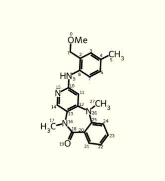 COCc1cc(C)ccc1Nc1cc2c(cn1)N(C)C(=O)c1ccccc1N2C